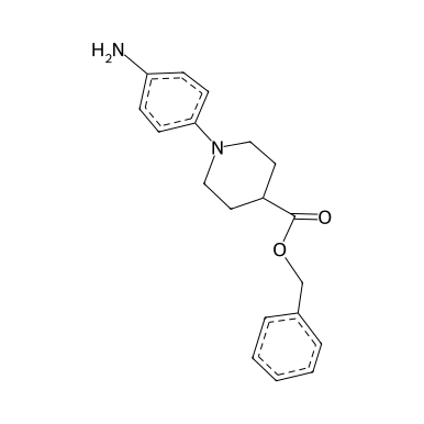 Nc1ccc(N2CCC(C(=O)OCc3ccccc3)CC2)cc1